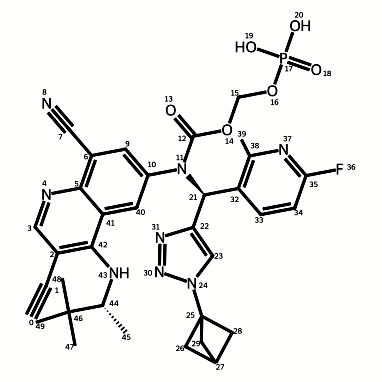 C#Cc1cnc2c(C#N)cc(N(C(=O)OCOP(=O)(O)O)[C@H](c3cn(C45CC(C4)C5)nn3)c3ccc(F)nc3C)cc2c1N[C@H](C)C(C)(C)C